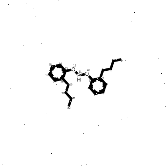 CCCCc1ccccc1OPOc1ccccc1CCCC